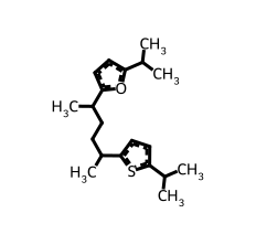 CC(C)c1ccc(C(C)CCC(C)c2ccc(C(C)C)s2)o1